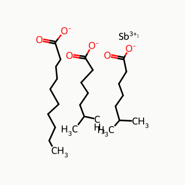 CC(C)CCCCC(=O)[O-].CC(C)CCCCC(=O)[O-].CCCCCCCCCC(=O)[O-].[Sb+3]